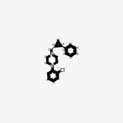 Clc1ccccc1N1CCN(C[C@@H]2C[C@H]2c2ccccc2)CC1